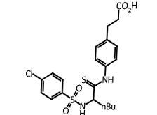 CCCCC(NS(=O)(=O)c1ccc(Cl)cc1)C(=S)Nc1ccc(CCC(=O)O)cc1